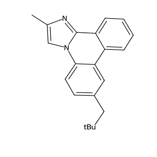 Cc1cn2c3ccc(CC(C)(C)C)cc3c3ccccc3c2n1